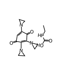 CCPC(=O)O.O=C1C=C(N2CC2)C(=O)C(N2CC2)=C1N1CC1